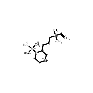 C=C[Si](C)(C)CCCC1CNCCN1[Si](C)(C)C(C)(C)C